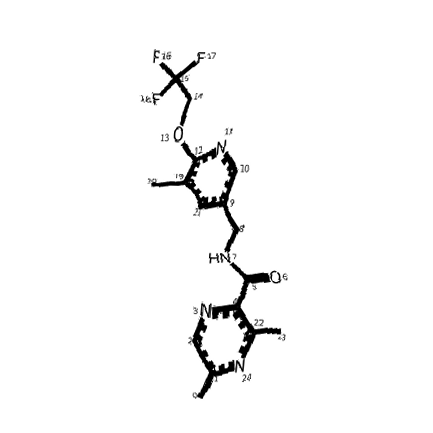 Cc1cnc(C(=O)NCc2cnc(OCC(F)(F)F)c(C)c2)c(C)n1